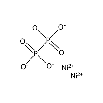 O=P([O-])([O-])P(=O)([O-])[O-].[Ni+2].[Ni+2]